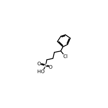 O=S(=O)(O)CCCC(Cl)c1ccccc1